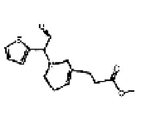 COC(=O)CCC1=CCCN(C(C=O)c2cccs2)C1